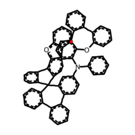 c1ccc(N(c2ccc3c(c2)C2(c4ccccc4-c4ccccc4-3)c3ccccc3-c3c2ccc2c3oc3ccccc32)c2cccc3c2Oc2ccccc2-c2ccccc2-3)cc1